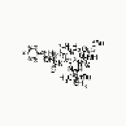 Cn1ncc2c1[C@@H](/C(CNS(=O)(=O)NC(=O)OC(C)(C)C)=N/O[Si](C)(C)C(C)(C)C)N1C[C@H]2N(OCc2ccccc2)C1=O